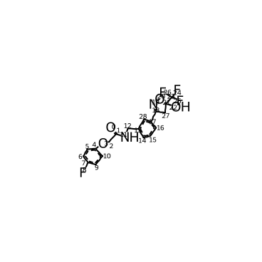 O=C(COc1ccc(F)cc1)NCc1cccc(C2=NOC(O)(C(F)(F)F)C2)c1